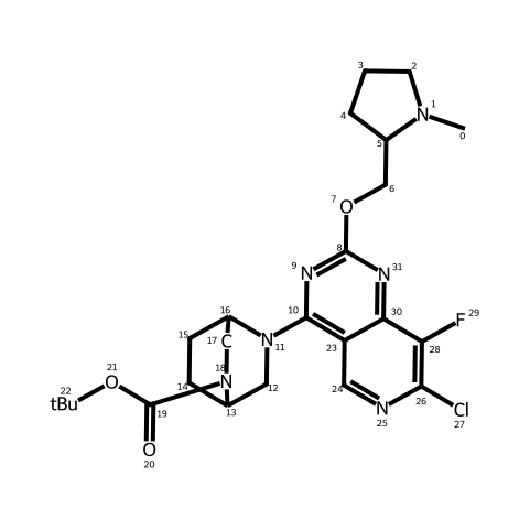 CN1CCCC1COc1nc(N2CC3CCC2CN3C(=O)OC(C)(C)C)c2cnc(Cl)c(F)c2n1